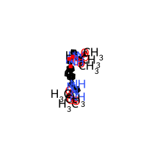 COC(=O)N[C@H](C(=O)N1CCC[C@H]1c1ncc(-c2ccc3c(c2)CCc2cc(-c4cnc([C@@H]5[C@H]6CCC(C6)N5C(=O)[C@@H](NC(=O)OC)[C@@H](C)OC)[nH]4)ccc2-3)[nH]1)C(C)C